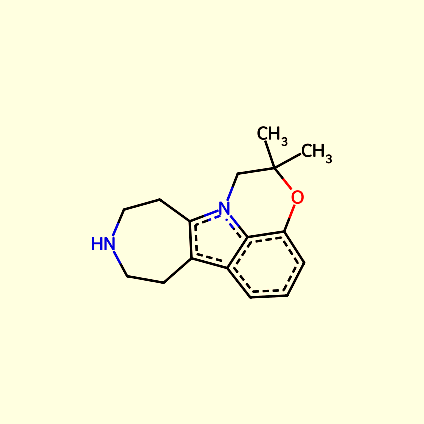 CC1(C)Cn2c3c(c4cccc(c42)O1)CCNCC3